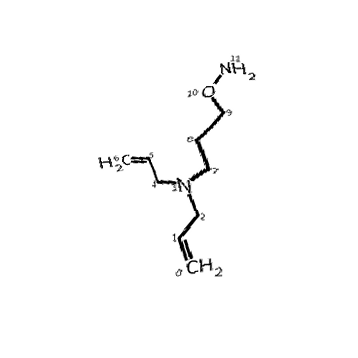 C=CCN(CC=C)CCCON